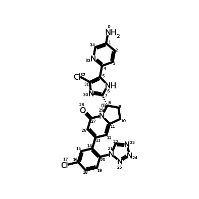 Nc1ccc(-c2[nH]c([C@@H]3CCc4cc(-c5cc(Cl)ccc5-n5cnnn5)cc(=O)n43)nc2Cl)nc1